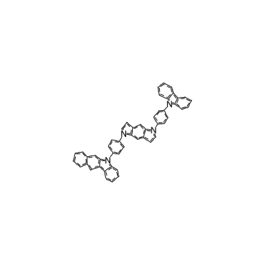 c1ccc2cc3c(cc2c1)c1ccccc1n3-c1ccc(-n2ccc3cc4c(ccn4-c4ccc(-n5c6ccccc6c6ccccc65)cc4)cc32)cc1